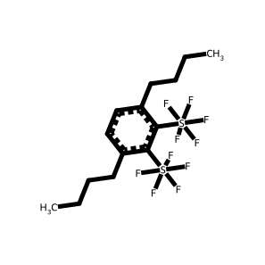 CCCCc1ccc(CCCC)c(S(F)(F)(F)(F)F)c1S(F)(F)(F)(F)F